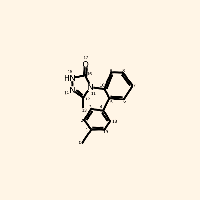 Cc1ccc(-c2ccccc2-n2c(C)n[nH]c2=O)cc1